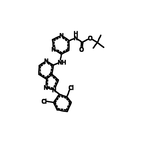 CC(C)(C)OC(=O)Nc1cc(Nc2nccc3nn(-c4c(Cl)cccc4Cl)cc23)ncn1